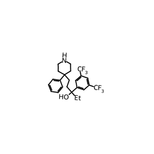 CCC(O)(CCC1(c2ccccc2)CCNCC1)c1cc(C(F)(F)F)cc(C(F)(F)F)c1